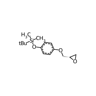 CC(C)(C)[Si](C)(C)Oc1ccc(OC[C@@H]2CO2)cc1